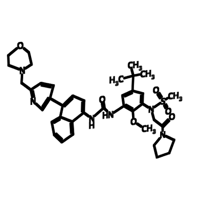 COc1c(NC(=O)Nc2ccc(-c3ccc(CN4CCOCC4)nc3)c3ccccc23)cc(C(C)(C)C)cc1N(CC(=O)N1CCCC1)S(C)(=O)=O